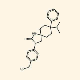 CN(C)[C@]1(c2ccccc2)CC[C@@]2(CC1)CN(c1ccc(OC(F)(F)F)cn1)C(=O)N2